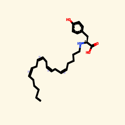 CCCCC/C=C\C/C=C\C/C=C\C/C=C\CCCCN[C@@H](Cc1ccc(O)cc1)C(=O)O